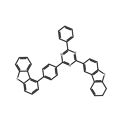 C1=Cc2c(sc3ccc(-c4nc(-c5ccccc5)nc(-c5ccc(-c6cccc7sc8ccccc8c67)cc5)n4)cc23)CC1